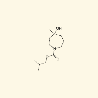 CC(C)COC(=O)N1CCCC(C)(O)CC1